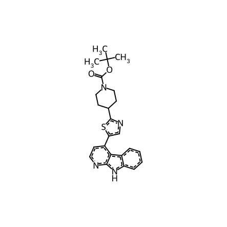 CC(C)(C)OC(=O)N1CCC(c2ncc(-c3ccnc4[nH]c5ccccc5c34)s2)CC1